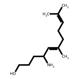 CC(C)=CCCC(C)=CC(N)CCCO